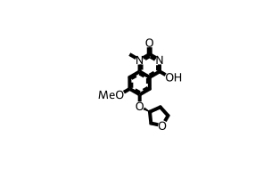 COc1cc2c(cc1O[C@H]1CCOC1)c(O)nc(=O)n2C